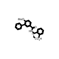 COc1ccc(C(=O)N[C@@H](CC(=O)O)c2ccccc2C)cc1-c1ccccc1